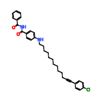 O=C(NC(=O)c1ccc(NCCCCCCCCCCCC#Cc2ccc(Cl)cc2)cc1)c1ccccc1